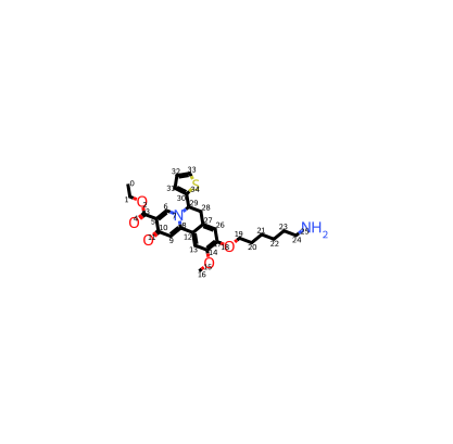 CCOC(=O)c1cn2c(cc1=O)-c1cc(OC)c(OCCCCCCN)cc1CC2c1cccs1